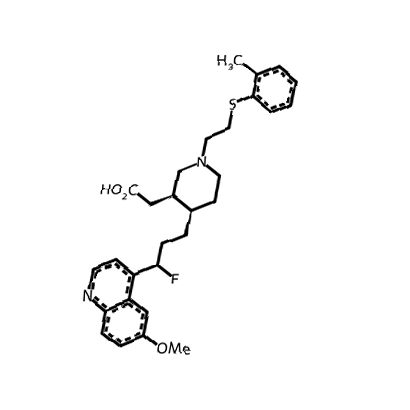 COc1ccc2nccc(C(F)CC[C@@H]3CCN(CCSc4ccccc4C)C[C@@H]3CC(=O)O)c2c1